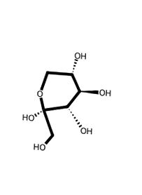 OC[C@@]1(O)OC[C@H](O)[C@@H](O)[C@@H]1O